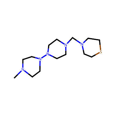 CN1CCN(N2CCN(CN3CCSCC3)CC2)CC1